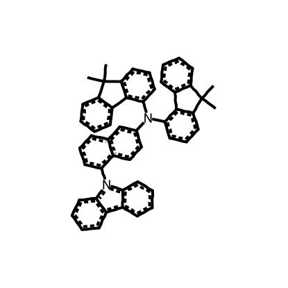 CC1(C)c2ccccc2-c2c(N(c3ccc4c(-n5c6ccccc6c6ccccc65)cccc4c3)c3cccc4c3-c3ccccc3C4(C)C)cccc21